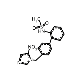 CS(=O)(=O)Nc1ccccc1-c1ccc(Cn2cncc2[N+](=O)[O-])cc1